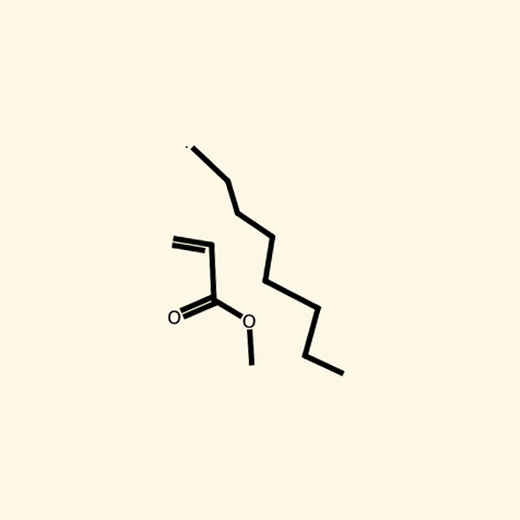 C=CC(=O)OC.[CH2]CCCCCCC